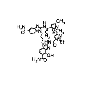 C=C(Nc1nc2cc(C(N)=O)ccc2n1CCCCn1c(NC(=O)c2cc(C)nn2CC)nc2c(O)c(C(N)=O)ccc21)c1cc(C)nn1CC